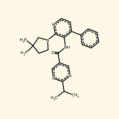 CC(C)c1ncc(C(=O)Nc2c(-c3ccccc3)ccnc2N2CCC(P)(P)C2)cn1